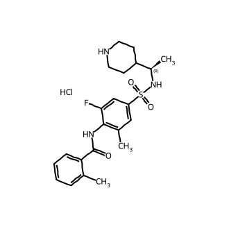 Cc1ccccc1C(=O)Nc1c(C)cc(S(=O)(=O)N[C@H](C)C2CCNCC2)cc1F.Cl